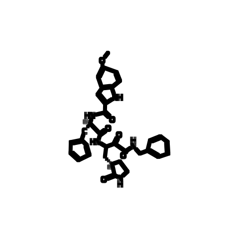 COc1ccc2[nH]c(C(=O)N[C@@H](Cc3ccccc3)C(=O)NC(C[C@@H]3CCNC3=O)C(=O)C(=O)NCc3ccccc3)cc2c1